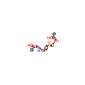 CC(OCC(c1ccccc1)C(C)(C)O)PCCCOC(C)(C)CPC1CC2CCC(C)(CC(C)(C)OCCCNCC(C)(C)OCC(c3ccccc3)C(C)(C)O)CC21